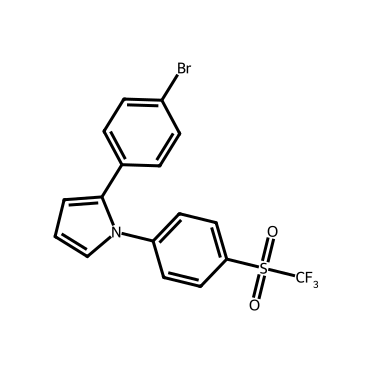 O=S(=O)(c1ccc(-n2cccc2-c2ccc(Br)cc2)cc1)C(F)(F)F